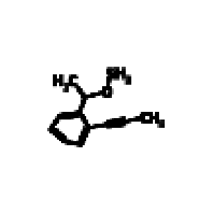 CC#Cc1ccccc1C(C)O[SiH3]